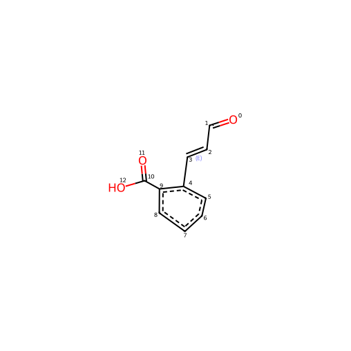 O=[C]/C=C/c1ccccc1C(=O)O